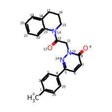 Cc1ccc(-c2ccc(=O)n(CC(=O)N3CCCc4ccccc43)n2)cc1